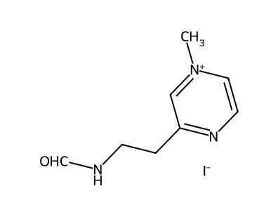 C[n+]1ccnc(CCNC=O)c1.[I-]